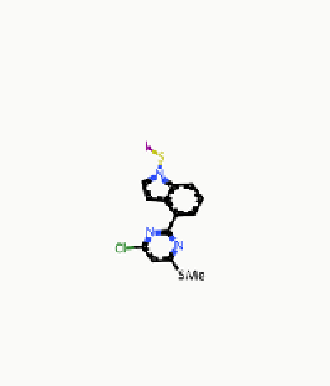 CSc1cc(Cl)nc(-c2cccc3c2ccn3SI)n1